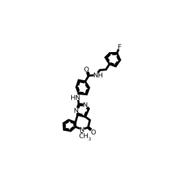 CN1C(=O)Cc2cnc(Nc3ccc(C(=O)NCCc4ccc(F)cc4)cc3)nc2-c2ccccc21